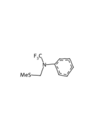 CSCN(c1ccccc1)C(F)(F)F